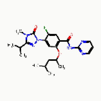 CC(C)CC(C)Oc1cc(-n2nc(C(C)C)n(C)c2=O)c(F)cc1C(=O)Nc1ncccn1